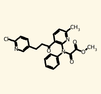 COC(=O)C(=O)N(c1ccccc1)c1nc(C)ccc1C(=O)CCc1ccc(Cl)nc1